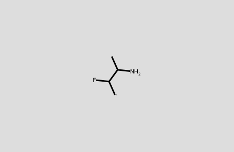 [CH2]C(F)C(C)N